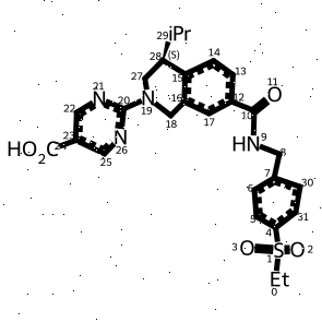 CCS(=O)(=O)c1ccc(CNC(=O)c2ccc3c(c2)CN(c2ncc(C(=O)O)cn2)C[C@H]3C(C)C)cc1